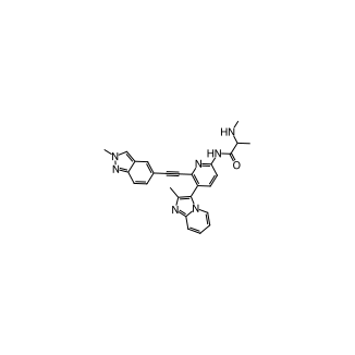 CNC(C)C(=O)Nc1ccc(-c2c(C)nc3ccccn23)c(C#Cc2ccc3nn(C)cc3c2)n1